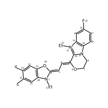 CCN1C(=CC=C2OCCn3c2[n+](CC)c2cc(F)ccc23)Oc2cc(C)c(C)cc21